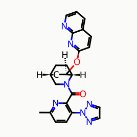 Cc1ccc(-n2nccn2)c(C(=O)N2C[C@@H]3CC[C@H]2[C@H](Oc2ccc4cccnc4n2)C3)n1